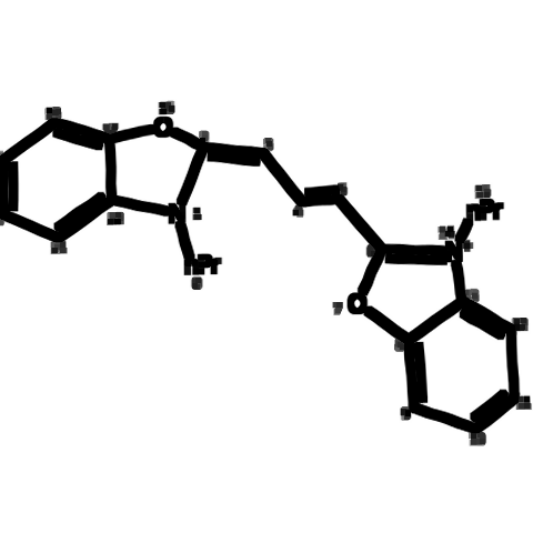 CCCN1C(=CC=Cc2oc3ccccc3[n+]2CCC)Oc2ccccc21